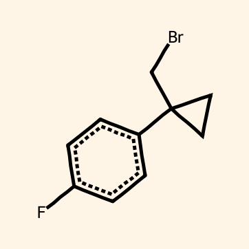 Fc1ccc(C2(CBr)CC2)cc1